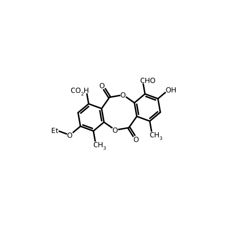 CCOc1cc(C(=O)O)c2c(c1C)OC(=O)c1c(C)cc(O)c(C=O)c1OC2=O